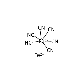 N#[C][Ru-2]([C]#N)([C]#N)([C]#N)([C]#N)[C]#N.[Fe+2]